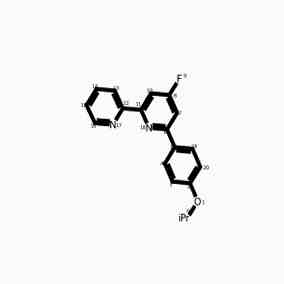 CC(C)Oc1ccc(-c2cc(F)cc(-c3ccccn3)n2)cc1